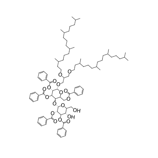 CC(C)CCCC(C)CCCC(C)CCCC(C)CCOCC(CO[C@@H]1OC(COC(=O)c2ccccc2)[C@@H](O[C@@H]2OC(CO)[C@H](O)C(OC(=O)c3ccccc3)[C@@H]2OC(=O)c2ccccc2)C(OC(=O)c2ccccc2)[C@@H]1OC(=O)c1ccccc1)OCCC(C)CCCC(C)CCCC(C)CCCC(C)C